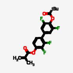 C=C(C)C(=O)Oc1ccc(-c2cc(F)c(OC(=O)C(C)(C)C)c(F)c2)c(F)c1F